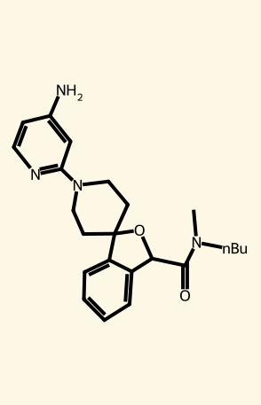 CCCCN(C)C(=O)C1OC2(CCN(c3cc(N)ccn3)CC2)c2ccccc21